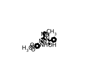 Cc1cnc(-c2cnc(Nc3ccc(S(C)(=O)=O)cc3)nc2N[C@H](CO)c2ccccc2)o1